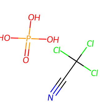 N#CC(Cl)(Cl)Cl.O=P(O)(O)O